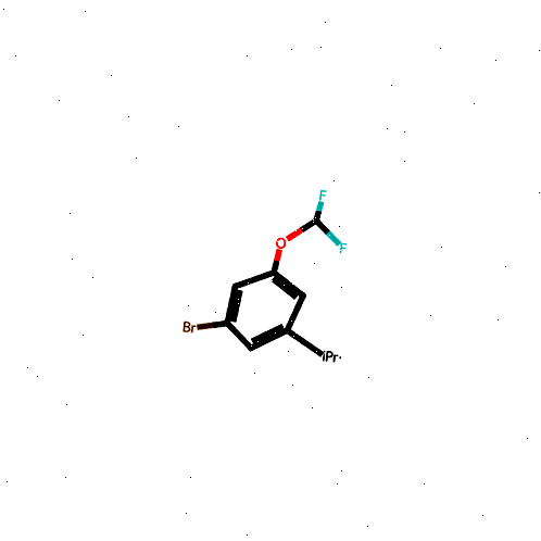 C[C](C)c1cc(Br)cc(OC(F)F)c1